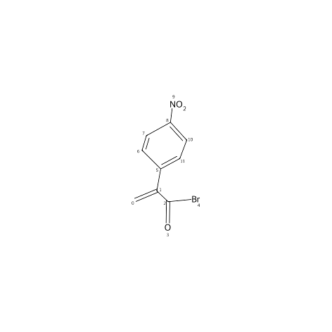 C=C(C(=O)Br)c1ccc([N+](=O)[O-])cc1